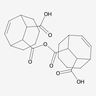 O=C(O)C1C2C=CC(CCCC2)C1C(=O)OC(=O)C1C2C=CC(CCCC2)C1C(=O)O